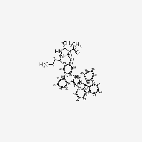 CCCCN1NC(C)C(C(C)=O)=C1Cc1ccc(-c2ccccc2-c2nnn(C(c3ccccc3)(c3ccccc3)c3ccccc3)n2)cc1